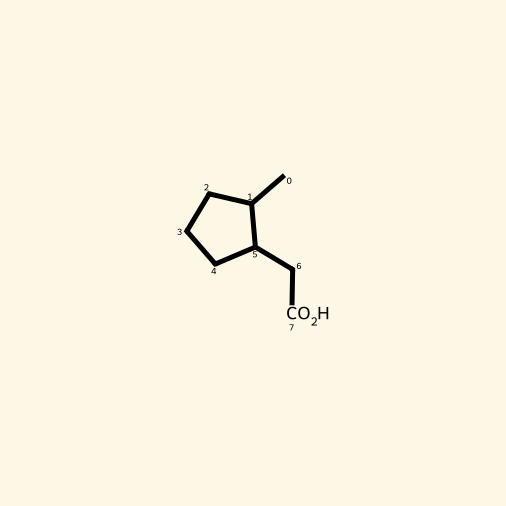 CC1CCCC1CC(=O)O